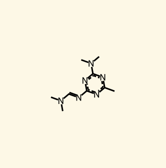 Cc1nc(N=CN(C)C)nc(N(C)C)n1